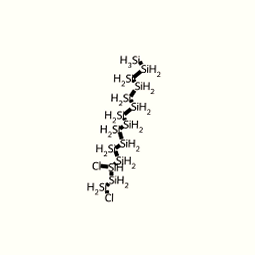 [SiH3][SiH2][SiH2][SiH2][SiH2][SiH2][SiH2][SiH2][SiH2][SiH2][SiH2][SiH2][SiH](Cl)[SiH2][SiH2]Cl